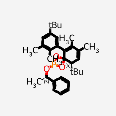 CC1=C[C@@H](C(C)(C)C)C2(OP(O[C@@H](C)c3ccccc3)O2)C(c2cc(C(C)(C)C)cc(C)c2C)=C1C